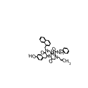 C=CCN1CC(=O)N2[C@@H](Cc3ccc(O)cc3)C(=O)N(Cc3cccc4ccccc34)C[C@@H]2N1C(=O)NCc1ccccc1